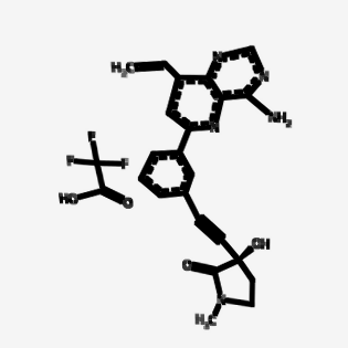 C=Cc1cc(-c2cccc(C#C[C@]3(O)CCN(C)C3=O)c2)nc2c(N)ncnc12.O=C(O)C(F)(F)F